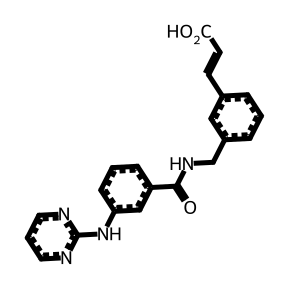 O=C(O)/C=C/c1cccc(CNC(=O)c2cccc(Nc3ncccn3)c2)c1